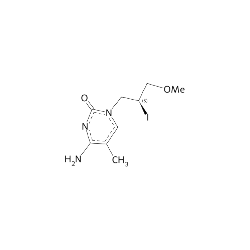 COC[C@@H](I)Cn1cc(C)c(N)nc1=O